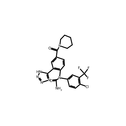 NC(=O)N(c1ccc(Cl)c(C(F)(F)F)c1)c1ccc(C(=O)N2CCCCC2)cc1-c1nnn[nH]1